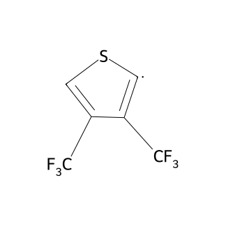 FC(F)(F)c1[c]scc1C(F)(F)F